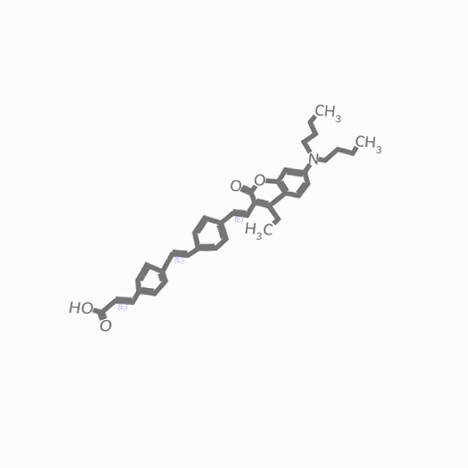 CCCCN(CCCC)c1ccc2c(CC)c(/C=C/c3ccc(/C=C/c4ccc(/C=C/C(=O)O)cc4)cc3)c(=O)oc2c1